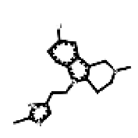 Cc1ncc(CCn2c3c(c4cc(Cl)ccc42)CN(C)CC3)[nH]1